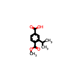 COC(=O)c1ccc(C(=O)O)cc1C(C)C